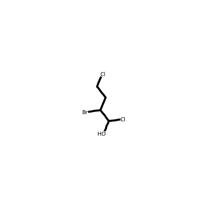 OC(Cl)C(Br)CCCl